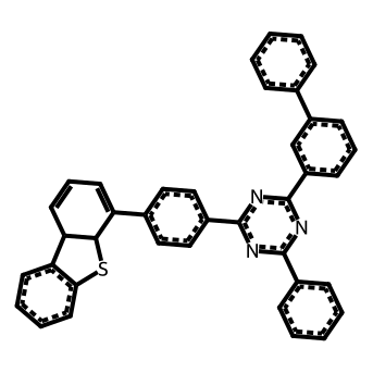 C1=CC2c3ccccc3SC2C(c2ccc(-c3nc(-c4ccccc4)nc(-c4cccc(-c5ccccc5)c4)n3)cc2)=C1